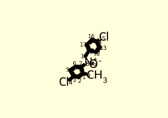 Cc1cc(Cl)ccc1[N+]([O-])=Cc1ccc(Cl)cc1